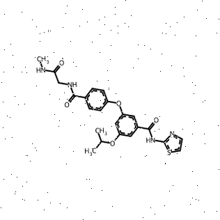 CNC(=O)CNC(=O)c1ccc(Oc2cc(OC(C)C)cc(C(=O)Nc3nccs3)c2)cc1